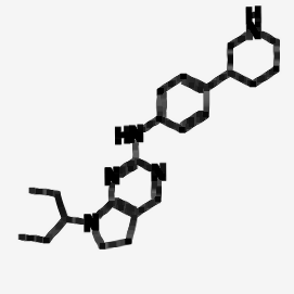 CCC(CC)N1CCc2cnc(Nc3ccc(C4CCCNC4)cc3)nc21